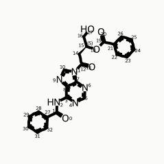 O=C(Nc1ncnc2c1ncn2C(=O)C[C@@H](CO)OC(=O)c1ccccc1)c1ccccc1